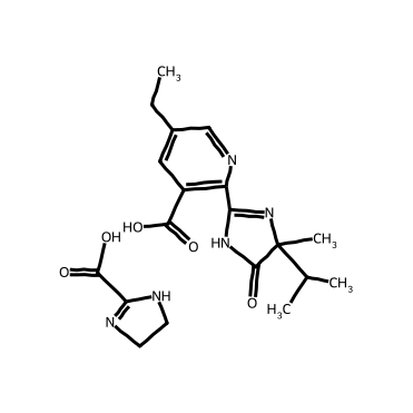 CCc1cnc(C2=NC(C)(C(C)C)C(=O)N2)c(C(=O)O)c1.O=C(O)C1=NCCN1